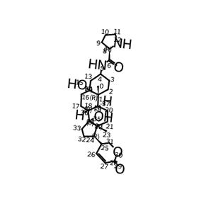 C[C@]12CCC(NC(=O)[C@H]3CCCN3)C[C@@]1(O)CC[C@@H]1[C@@H]2CC[C@]2(C)[C@@H](C3C=CC(=O)OC3)CC[C@]12O